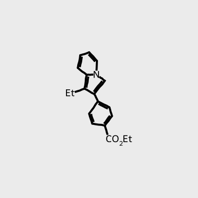 CCOC(=O)c1ccc(-c2cn3ccccc3c2CC)cc1